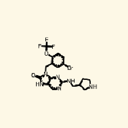 O=c1[nH]c2cnc(NCC3CCNC3)nc2n1Cc1cc(Br)ccc1OC(F)(F)F